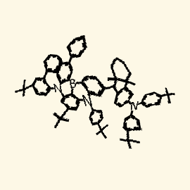 CC(C)(C)c1ccc(N(c2ccc(C(C)(C)C)cc2)c2ccc3c(c2)C2(C)CCCCC2(C)C3c2ccc3c(c2)N(c2ccc(C(C)(C)C)cc2)c2cc(C(C)(C)C)cc4c2B3c2cc(-c3ccccc3)ccc2N4c2ccc(C(C)(C)C)cc2-c2ccccc2)cc1